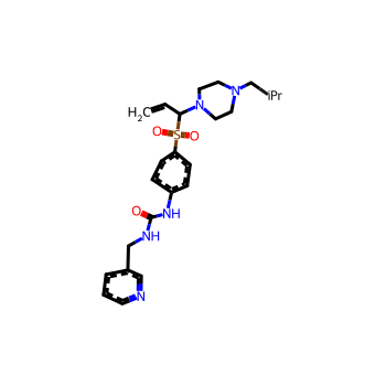 C=CC(N1CCN(CC(C)C)CC1)S(=O)(=O)c1ccc(NC(=O)NCc2cccnc2)cc1